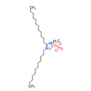 CCCCCCCCCCCCC1=[N+](CCCCCCCCCCCC)CCN1.COS(=O)(=O)[O-]